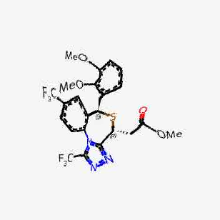 COC(=O)C[C@H]1S[C@H](c2cccc(OC)c2OC)c2cc(C(F)(F)F)ccc2-n2c1nnc2C(F)(F)F